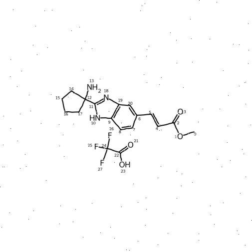 COC(=O)C=Cc1ccc2[nH]c(C3(N)CCCC3)nc2c1.O=C(O)C(F)(F)F